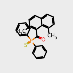 Cc1ccc2cccc(C)c2c1C(=O)P(=S)(c1ccccc1)c1ccccc1